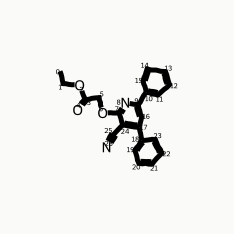 CCOC(=O)COc1nc(-c2ccccc2)cc(-c2ccccc2)c1C#N